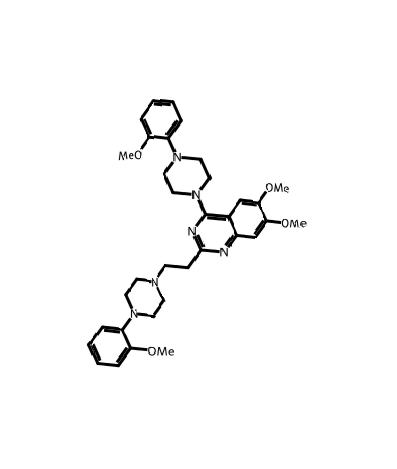 COc1cc2nc(CCN3CCN(c4ccccc4OC)CC3)nc(N3CCN(c4ccccc4OC)CC3)c2cc1OC